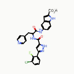 O=C(O)c1cc2cc(NC(=O)C(Cc3ccncc3)NC(=O)c3cc(-c4cccc(Cl)c4F)n[nH]3)ccc2[nH]1